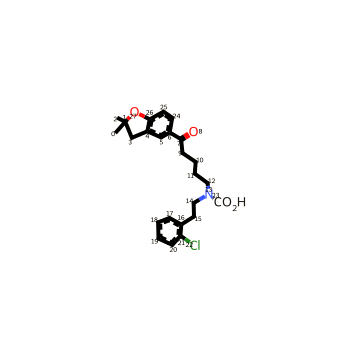 CC1(C)Cc2cc(C(=O)CCCCN(CCc3ccccc3Cl)C(=O)O)ccc2O1